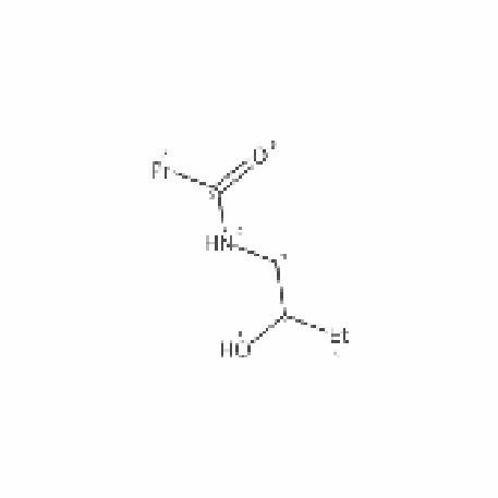 CCC(O)CNC(=O)C(C)C